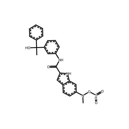 CN(O[SH](=O)=O)c1ccc2cc(C(=O)Nc3cccc(C(C)(O)c4ccccc4)c3)[nH]c2c1